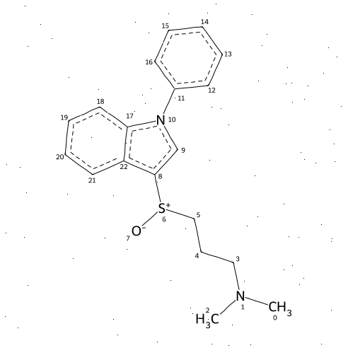 CN(C)CCC[S+]([O-])c1cn(-c2ccccc2)c2ccccc12